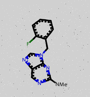 CNc1ncc2ncn(Cc3ccccc3F)c2n1